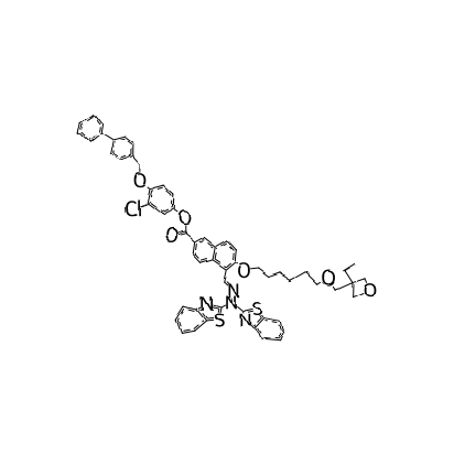 CCC1(COCCCCCCOc2ccc3cc(C(=O)Oc4ccc(OCc5ccc(-c6ccccc6)cc5)c(Cl)c4)ccc3c2/C=N/N(c2nc3ccccc3s2)c2nc3ccccc3s2)COC1